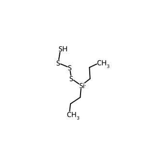 CCC[Si](CCC)SSSS